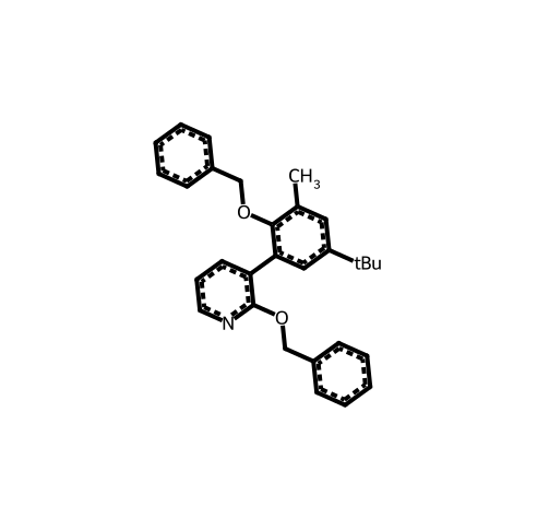 Cc1cc(C(C)(C)C)cc(-c2cccnc2OCc2ccccc2)c1OCc1ccccc1